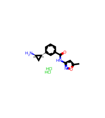 Cc1cc(NC(=O)c2cccc([C@@H]3C[C@H]3N)c2)no1.Cl.Cl